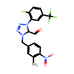 Cc1cc(CN2N=NN(c3cc(C(F)(F)F)ccc3F)C2C=O)ccc1[N+](=O)[O-]